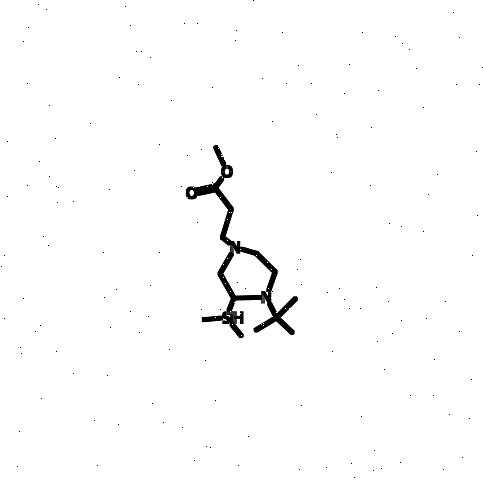 COC(=O)CCN1CCN(C(C)(C)C)C([SiH](C)C)C1